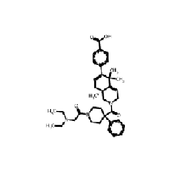 CCN(CC)CC(=O)N1CCC(C(=O)N2CC=C3C(C)(C)C(c4ccc(C(=O)O)cc4)=CC[C@]3(C)C2)(c2ccccc2)CC1